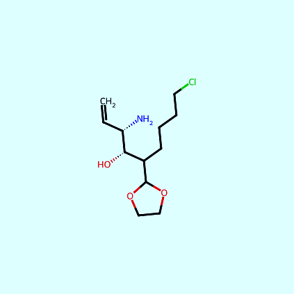 C=C[C@H](N)[C@@H](O)C(CCCCCl)C1OCCO1